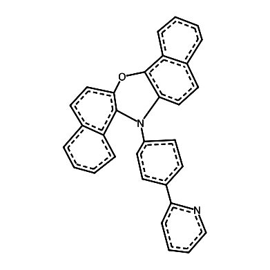 c1ccc(-c2ccc(N3c4ccc5ccccc5c4Oc4ccc5ccccc5c43)cc2)nc1